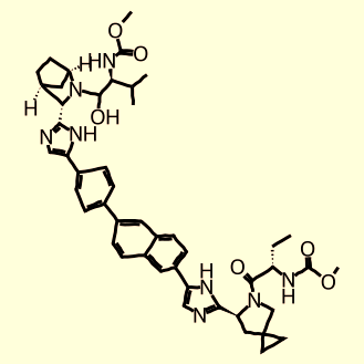 CC[C@H](NC(=O)OC)C(=O)N1CC2(CC2)C[C@H]1c1ncc(-c2ccc3cc(-c4ccc(-c5cnc([C@@H]6[C@H]7CC[C@H](C7)N6C(O)[C@@H](NC(=O)OC)C(C)C)[nH]5)cc4)ccc3c2)[nH]1